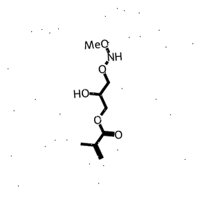 C=C(C)C(=O)OCC(O)CONOC